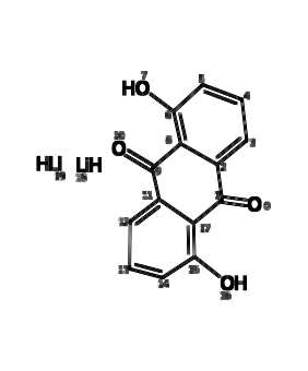 O=C1c2cccc(O)c2C(=O)c2cccc(O)c21.[LiH].[LiH]